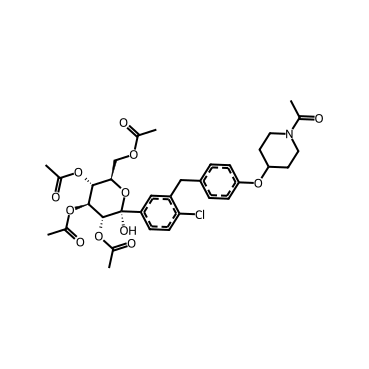 CC(=O)OC[C@H]1O[C@@](O)(c2ccc(Cl)c(Cc3ccc(OC4CCN(C(C)=O)CC4)cc3)c2)[C@H](OC(C)=O)[C@@H](OC(C)=O)[C@@H]1OC(C)=O